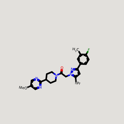 CCCc1cc(-c2ccc(F)c(C)c2)nn1CC(=O)N1CCC(c2ncc(OC)cn2)CC1